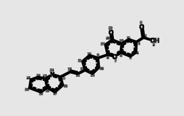 O=C(O)c1ccc2oc(-c3ccc(C=Cc4ccc5ccccc5n4)cc3)cc(=O)c2c1